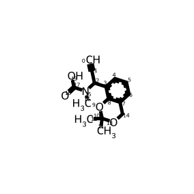 C#CC(c1cccc2c1OC(C)(C)OC2)N(C)C(=O)O